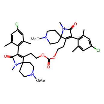 CON1CCC2(CC1)C(CCOC(=O)OCCC1=C(c3c(C)cc(Cl)cc3C)C(=O)N(C)C13CCN(OC)CC3)=C(c1c(C)cc(Cl)cc1C)C(=O)N2C